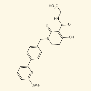 COc1cccc(-c2ccc(CN3CCC(O)=C(C(=O)NCC(=O)O)C3=O)cc2)n1